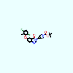 Cc1c(F)ccc(F)c1Oc1ccc2ncn(C3C4CN(C(=O)OC(C)(C)C)CC43)c(=O)c2c1